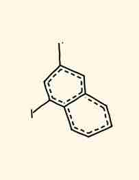 [CH2]c1cc(I)c2ccccc2c1